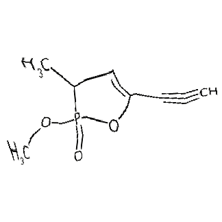 C#CC1=CC(C)P(=O)(OC)O1